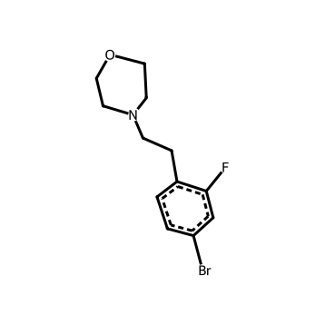 Fc1cc(Br)ccc1CCN1CCOCC1